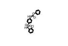 O=C(Nc1ccc(S(=O)(=O)Nc2ccccc2Cl)cc1)Oc1ccccc1